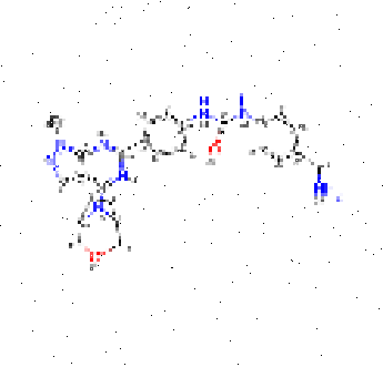 CCn1ncc2c(N3C4CCC3COC4)nc(-c3ccc(NC(=O)Nc4ccc(CN)cc4)cc3)nc21